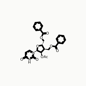 CC(=O)O[C@@H]1[C@H](COC(=O)c2ccccc2)[C@@H](COC(=O)c2ccccc2)O[C@H]1n1ccc(=O)[nH]c1=O